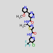 COc1ccncc1-c1cc(C(=O)NC(C)c2ncc(C(=O)Nc3cc(C(F)(F)F)c(Cl)cn3)s2)ncn1